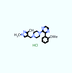 COc1ccccc1-c1nccnc1N1CCN(Cc2cn(C)nc2C)CC1.Cl